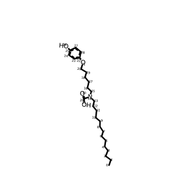 CCCCCCCCCCCCCCN(CCCCCCOc1ccc(O)cc1)C(=O)O